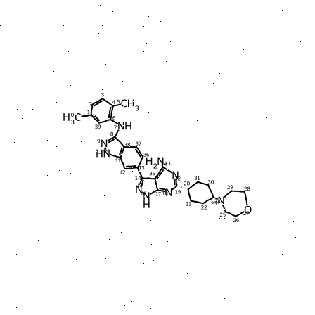 Cc1ccc(C)c(Nc2n[nH]c3cc(-c4n[nH]c5nc([C@H]6CC[C@H](N7CCOCC7)CC6)nc(N)c45)ccc23)c1